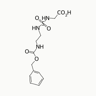 O=C(O)CNS(=O)(=O)NCCNC(=O)OCc1ccccc1